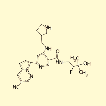 CC(C)(O)C(F)CNC(=O)c1cnc(-c2ccc3cc(C#N)cnn23)cc1NCC1CCNC1